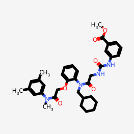 COC(=O)c1cccc(NC(=O)NCC(=O)N(CC2CCCCC2)c2ccccc2OCC(=O)N(C)c2cc(C)cc(C)c2)c1